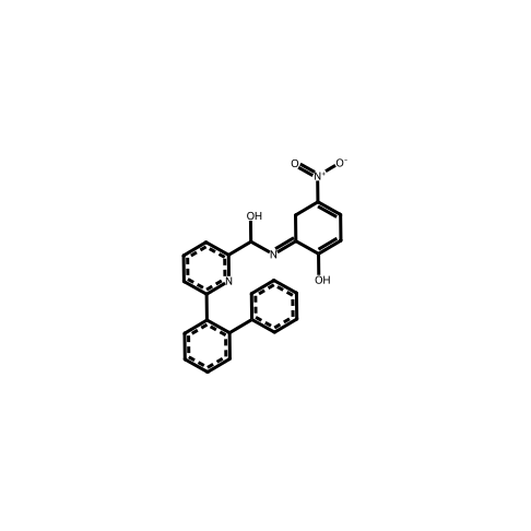 O=[N+]([O-])C1=CC=C(O)C(=NC(O)c2cccc(-c3ccccc3-c3ccccc3)n2)C1